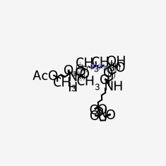 CC(=O)OC(C)C=CC(=O)N[C@@H]1C[C@H](C)[C@H](C/C=C(C)/C=C/[C@H]2O[C@H](CC(=O)NCCCCCC(=O)ON3C(=O)CCC3=O)C[C@@]3(CO3)[C@@H]2O)O[C@@H]1C